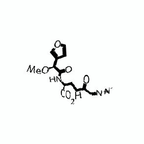 CO[C@H](C(=O)N[C@@H](CCC(=O)C=[N+]=[N-])C(=O)O)c1ccoc1